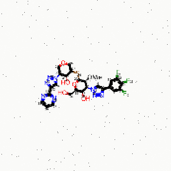 CO[C@@H]1[C@@H](n2cc(-c3cc(F)c(F)c(F)c3)nn2)[C@@H](O)[C@@H](CO)O[C@H]1S[C@@H]1COC[C@H](n2cc(-c3ncccn3)nn2)[C@H]1O